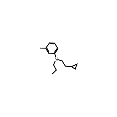 CCCN(CCC1CC1)c1cccc(C)c1